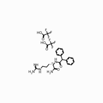 N=C(N)NCCC[C@H](NC(=O)C(c1ccccc1)c1ccccc1)C(N)=O.O=C(O)C(F)(F)F.O=C(O)C(F)(F)F